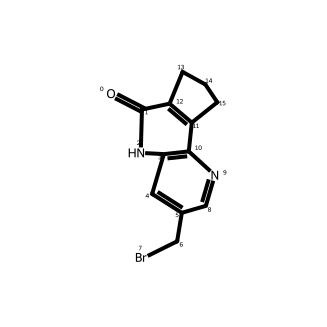 O=c1[nH]c2cc(CBr)cnc2c2c1CCC2